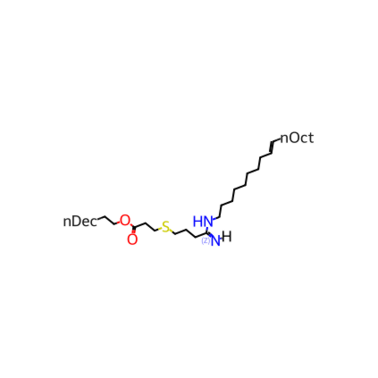 [H]/N=C(/CCCSCCC(=O)OCCCCCCCCCCCC)NCCCCCCCCC=CCCCCCCCC